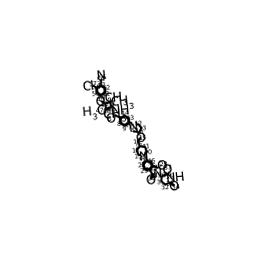 CC1(C)C(NC(=O)c2ccc(N3CC[C@H](OCC4CCN(c5ccc6c(c5)C(=O)N(C5CCC(=O)NC5=O)C6=O)CC4)C3)cc2)C(C)(C)C1Oc1ccc(C#N)c(Cl)c1